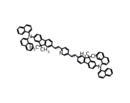 CC1(C)c2cc(/C=C/c3ccc(/C=C/c4ccc5c(c4)C(C)(C)c4cc(N(c6cccc7ccccc67)c6cccc7ccccc67)ccc4-5)nc3)ccc2-c2ccc(N(c3cccc4ccccc34)c3cccc4ccccc34)cc21